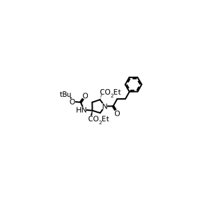 CCOC(=O)[C@H]1C[C@](NC(=O)OC(C)(C)C)(C(=O)OCC)CN1C(=O)CCc1ccccc1